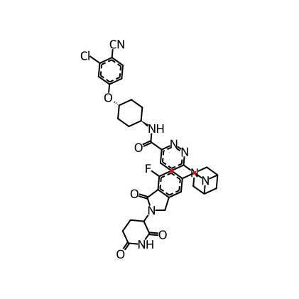 N#Cc1ccc(O[C@H]2CC[C@H](NC(=O)c3ccc(N4CC5CC(C4)N5Cc4cc(F)c5c(c4)CN(C4CCC(=O)NC4=O)C5=O)nn3)CC2)cc1Cl